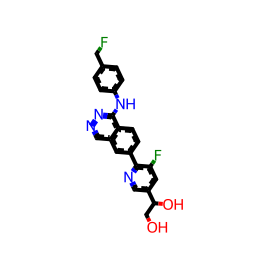 OCC(O)c1cnc(-c2ccc3c(Nc4ccc(CF)cc4)nncc3c2)c(F)c1